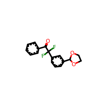 O=C(c1ccccc1)C(F)(F)c1cccc(C2OCCO2)c1